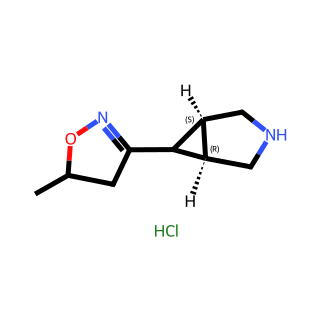 CC1CC(C2[C@H]3CNC[C@@H]23)=NO1.Cl